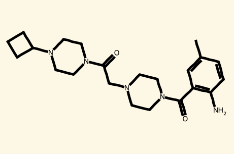 Cc1ccc(N)c(C(=O)N2CCN(CC(=O)N3CCN(C4CCC4)CC3)CC2)c1